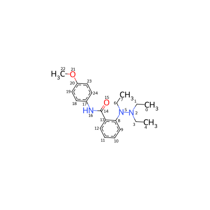 CCN(CC)N(CC)c1ccccc1C(=O)Nc1ccc(OC)cc1